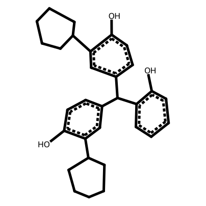 Oc1ccc(C(c2ccc(O)c(C3CCCCC3)c2)c2ccccc2O)cc1C1CCCCC1